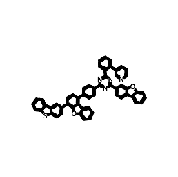 c1cncc(-c2ccccc2-c2nc(-c3ccc(-c4ccc(-c5ccc6sc7ccccc7c6c5)c5oc6ccccc6c45)cc3)nc(-c3ccc4c(c3)oc3ccccc34)n2)c1